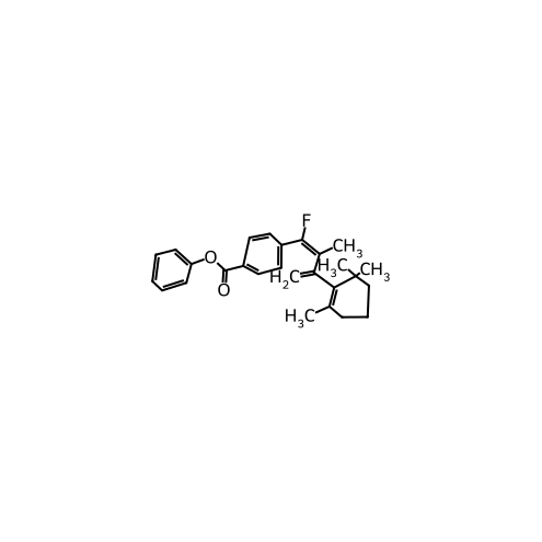 C=C(C(C)=C(F)c1ccc(C(=O)Oc2ccccc2)cc1)C1=C(C)CCCC1(C)C